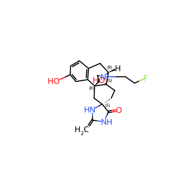 C=C1NC(=O)[C@@]2(CC[C@@]3(O)[C@H]4Cc5ccc(O)cc5[C@@]3(CCN4CCF)C2)N1